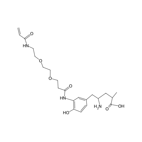 C=CC(=O)NCCOCCOCCC(=O)Nc1cc(CC(N)CC(C)C(=O)O)ccc1O